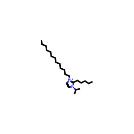 CCCCCCCCCCCCC[n+]1ccn(C(C)C)c1CCCCC